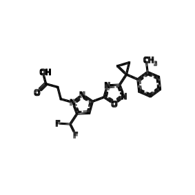 Cc1ccccc1C1(c2noc(-c3cc(C(F)F)n(CCC(=O)O)n3)n2)CC1